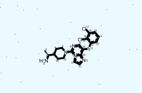 C[C@H](N)C1CCN(c2ncc(Sc3cccc(Cl)c3Cl)c3nccn23)CC1